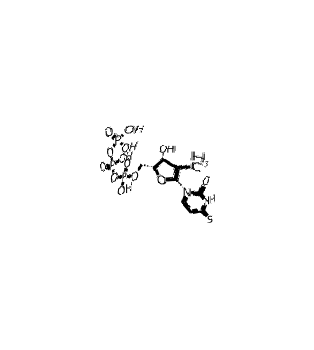 CC1[C@@H](O)[C@@H](COP(=O)(O)OP(=O)(O)OP(=O)(O)O)O[C@H]1n1ccc(=S)[nH]c1=O